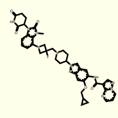 Cn1c(=O)n(C2CCC(=O)NC2=O)c2cccc(N3CC(F)(CN4CCC(n5cc6cc(NC(=O)c7cnn8cccnc78)c(OCC7CC7)cc6n5)CC4)C3)c21